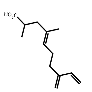 C=CC(=C)CCC=C(C)CC(C)C(=O)O